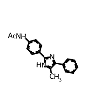 CC(=O)Nc1ccc(-c2nc(-c3ccccc3)c(C)[nH]2)cc1